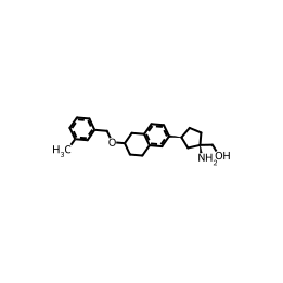 Cc1cccc(COC2CCc3cc([C@H]4CC[C@](N)(CO)C4)ccc3C2)c1